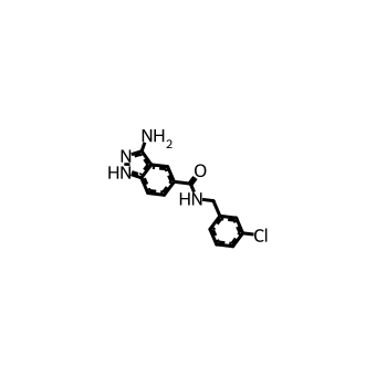 Nc1n[nH]c2ccc(C(=O)NCc3cccc(Cl)c3)cc12